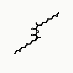 CCOCCOCCC=C(C)C(=O)OC(=O)C(C)=CCCOCCOC